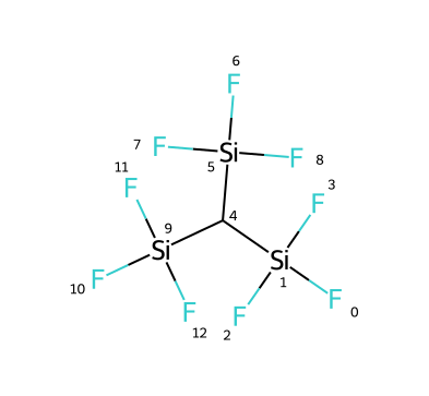 F[Si](F)(F)C([Si](F)(F)F)[Si](F)(F)F